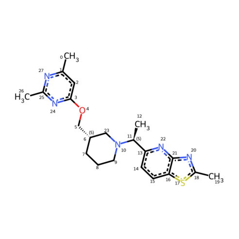 Cc1cc(OC[C@H]2CCCN([C@@H](C)c3ccc4sc(C)nc4n3)C2)nc(C)n1